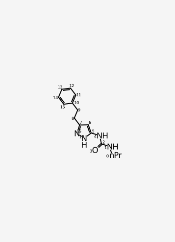 CCCNC(=O)Nc1cc(CCc2ccccc2)n[nH]1